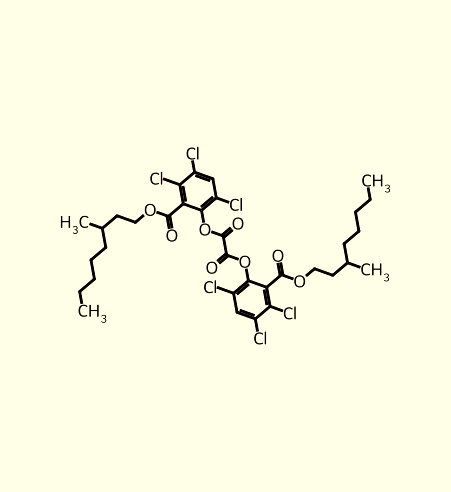 CCCCCC(C)CCOC(=O)c1c(Cl)c(Cl)cc(Cl)c1OC(=O)C(=O)Oc1c(Cl)cc(Cl)c(Cl)c1C(=O)OCCC(C)CCCCC